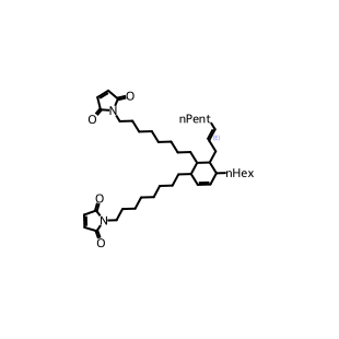 CCCCC/C=C/CC1C(CCCCCC)C=CC(CCCCCCCCN2C(=O)C=CC2=O)C1CCCCCCCCN1C(=O)C=CC1=O